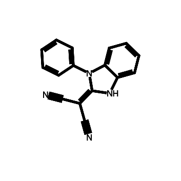 N#CC(C#N)=C1Nc2ccccc2N1c1ccccc1